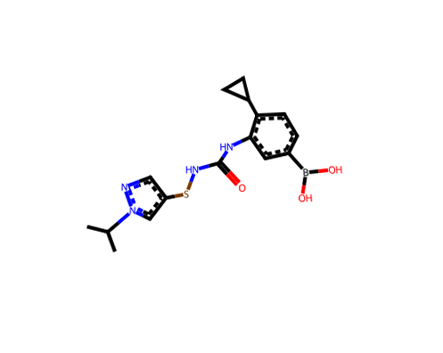 CC(C)n1cc(SNC(=O)Nc2cc(B(O)O)ccc2C2CC2)cn1